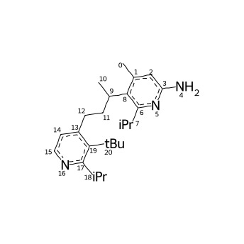 Cc1cc(N)nc(C(C)C)c1C(C)CCc1ccnc(C(C)C)c1C(C)(C)C